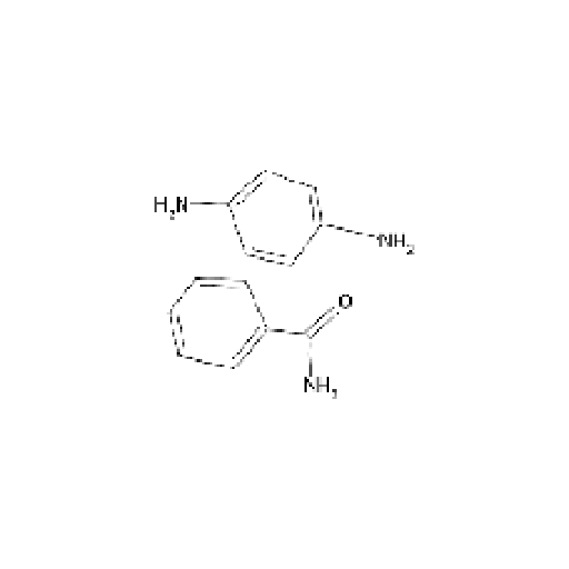 NC(=O)c1ccccc1.Nc1ccc(N)cc1